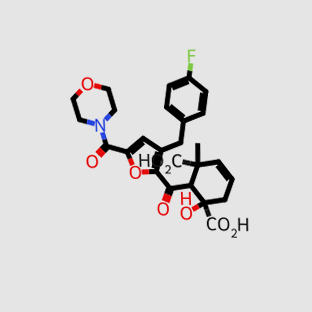 CC1(C(=O)O)C=CCC(O)(C(=O)O)C1C(=O)c1oc(C(=O)N2CCOCC2)cc1Cc1ccc(F)cc1